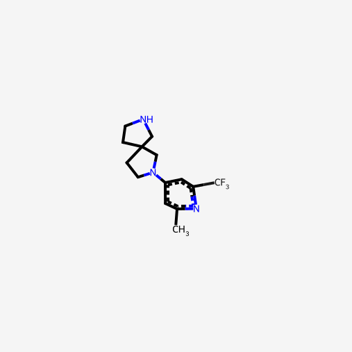 Cc1cc(N2CCC3(CCNC3)C2)cc(C(F)(F)F)n1